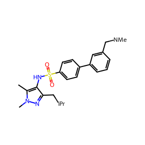 CNCc1cccc(-c2ccc(S(=O)(=O)Nc3c(CC(C)C)nn(C)c3C)cc2)c1